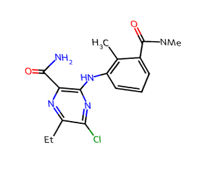 CCc1nc(C(N)=O)c(Nc2cccc(C(=O)NC)c2C)nc1Cl